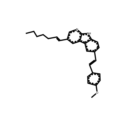 CCCCCC=Cc1cnc2[nH]c3ccc(C=Cc4ccc(OC)cc4)cc3c2c1